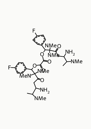 CNC(C)C(N)CC(=O)C(NC)(NC)C(OC(=O)C(=O)OC(c1ccc(F)cc1)C(NC)(NC)C(=O)CC(N)C(C)NC)c1ccc(F)cc1